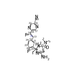 CN(C)C(=O)C12C[C@H]1[C@@](C)(c1cc(/C=C(\F)c3cnc(C#N)cn3)ccc1F)N=C(N)S2